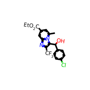 CCOC(=O)c1cc(C)n2c(C(O)c3ccc(Cl)cc3)c(C(F)(F)F)nc2c1